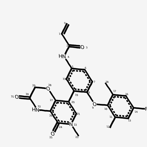 C=CC(=O)Nc1ccc(Oc2c(C)cc(F)cc2C)c(-c2cn(C)c(=O)c3c2OCC(=O)N3)c1